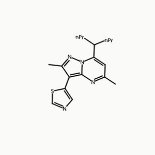 CCCC(CCC)c1cc(C)nc2c(-c3cncs3)c(C)nn12